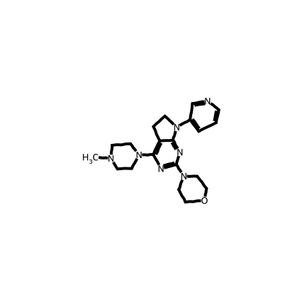 CN1CCN(c2nc(N3CCOCC3)nc3c2CCN3c2cccnc2)CC1